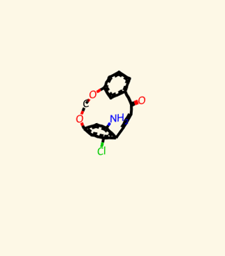 Nc1cc2cc(Cl)c1C=CC(=O)c1cccc(c1)OCO2